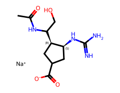 CC(=O)NC(CO)[C@@H]1CC(C(=O)[O-])C[C@@H]1NC(=N)N.[Na+]